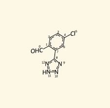 O=Cc1ccc(Cl)cc1-c1nn[nH]n1